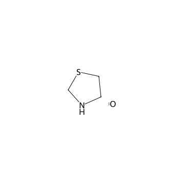 C1CSCN1.[O]